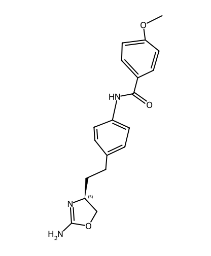 COc1ccc(C(=O)Nc2ccc(CC[C@H]3COC(N)=N3)cc2)cc1